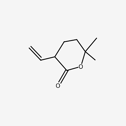 C=CC1CCC(C)(C)OC1=O